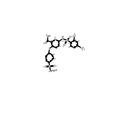 CCCCCS(=O)(=O)c1ccc(Sc2ccc(NS(=O)(=O)c3ccc(C(F)(F)F)cc3Cl)nc2C(=O)CCC)cc1